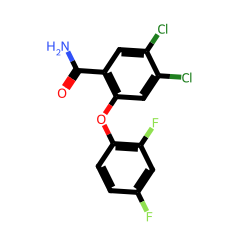 NC(=O)c1cc(Cl)c(Cl)cc1Oc1ccc(F)cc1F